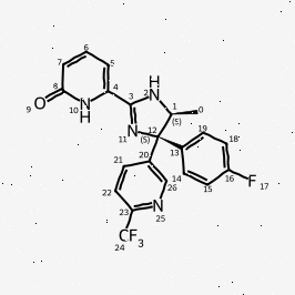 C[C@@H]1NC(c2cccc(=O)[nH]2)=N[C@@]1(c1ccc(F)cc1)c1ccc(C(F)(F)F)nc1